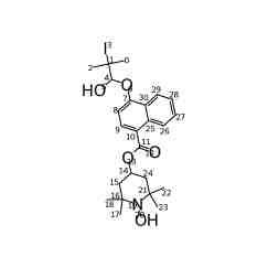 CC(C)(I)C(O)Oc1ccc(C(=O)OC2CC(C)(C)N(O)C(C)(C)C2)c2ccccc12